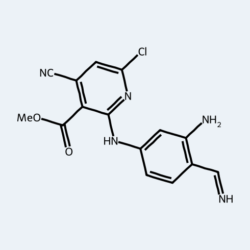 COC(=O)c1c(C#N)cc(Cl)nc1Nc1ccc(C=N)c(N)c1